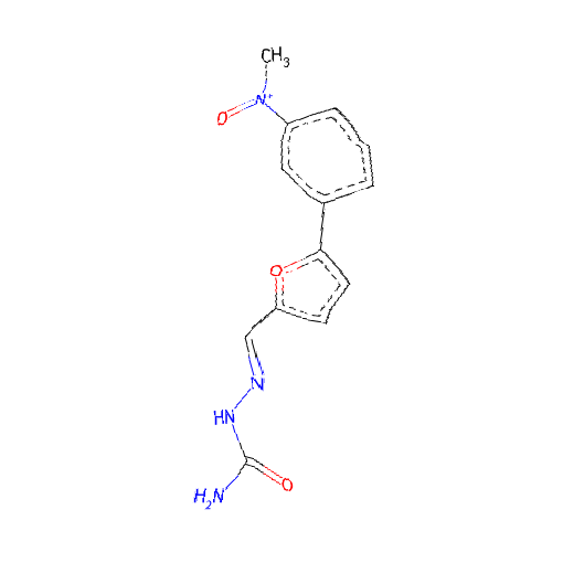 C[N+](=O)c1cccc(-c2ccc(/C=N/NC(N)=O)o2)c1